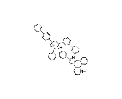 CN1CC=Cc2c1c1ccccc1c1c2nc(-c2ccccc2)n1-c1cccc(-c2cccc(/C(=C/C(=N)c3ccc(-c4ccccc4)cc3)NCc3ccccc3)c2)c1